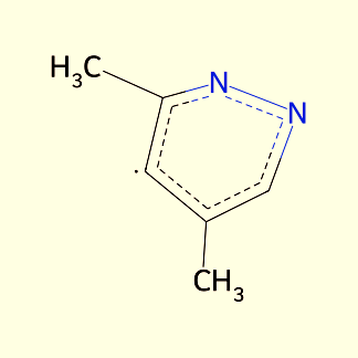 Cc1[c]c(C)nnc1